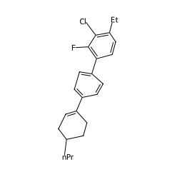 CCCC1CC=C(c2ccc(-c3ccc(CC)c(Cl)c3F)cc2)CC1